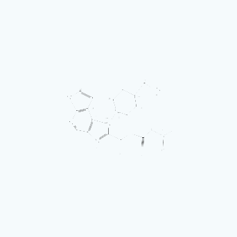 C[C@@H](OC(=O)CN(C)C)c1nc2cnc3[nH]ccc3c2n1N1CCC(CC#N)CC1